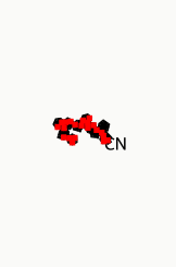 N#Cc1ccc(-n2c3ccccc3c3c4cc5c6cccc7c8cc(-c9ccc%10c%11ccccc%11n(-c%11cccc(-c%12ccccc%12)c%11)c%10c9)ccc8n(c5cc4ccc32)c76)cc1